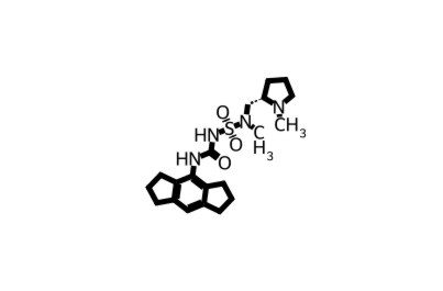 CN1CCC[C@H]1CN(C)S(=O)(=O)NC(=O)Nc1c2c(cc3c1CCC3)CCC2